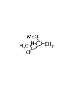 COc1cc(C)cc2cc(Cl)c(C)nc12